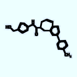 Cc1ccc(-c2ccc3c(c2)CC(C(=O)Nc2ccc(CO)cc2)CC=C3)cc1